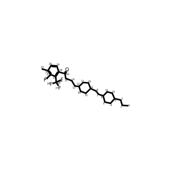 CCCC1CCC(CCC2CCC(CCCC(=O)c3ccc(C)c(F)c3C(F)(F)F)CC2)CC1